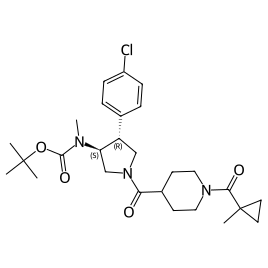 CN(C(=O)OC(C)(C)C)[C@@H]1CN(C(=O)C2CCN(C(=O)C3(C)CC3)CC2)C[C@H]1c1ccc(Cl)cc1